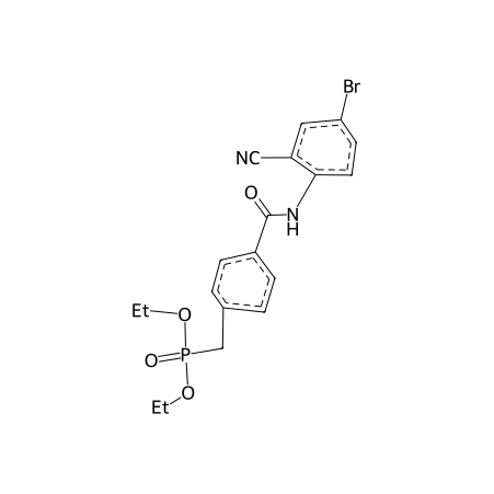 CCOP(=O)(Cc1ccc(C(=O)Nc2ccc(Br)cc2C#N)cc1)OCC